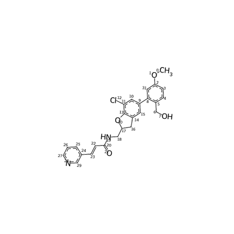 COc1ccc(CO)c(-c2cc(Cl)c3c(c2)CC(CNC(=O)/C=C/c2cccnc2)O3)c1